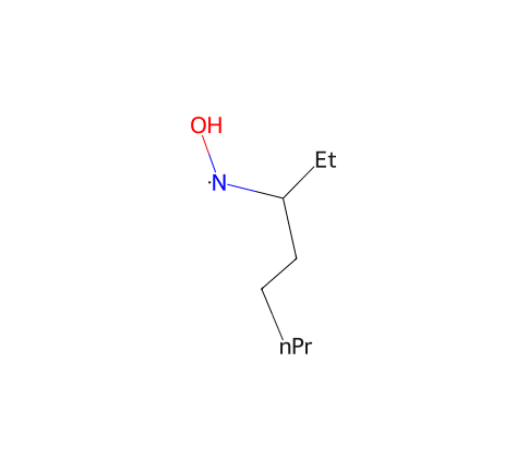 CCCCCC(CC)[N]O